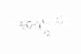 CCN(CC)CCNC(=O)c1nc(-c2ccc(C(C)(C)C)cc2)oc1-c1ccccc1